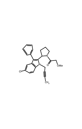 CC#CCn1c(C2CCCN2C(=O)COC)c(-c2ccccc2)c2cc(Cl)ccc21